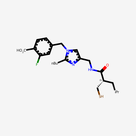 CCCCc1nc(CNC(=O)[C@@H](CS)CC(C)C)cn1Cc1ccc(C(=O)O)c(F)c1